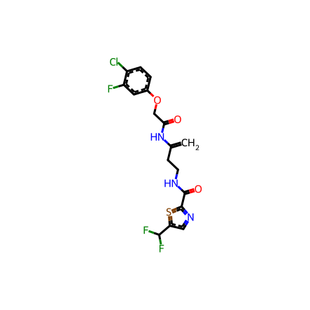 C=C(CCNC(=O)c1ncc(C(F)F)s1)NC(=O)COc1ccc(Cl)c(F)c1